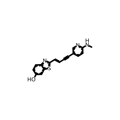 CNc1ccc(C#CC=Cc2nc3ccc(O)cc3s2)cn1